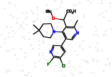 Cc1ncc(-c2cnc(F)c(Cl)c2)c(N2CCC(C)(C)CC2)c1C(OC(C)(C)C)C(=O)O